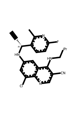 C#C[C@@H](Nc1cc(Cl)c2ncc(C#N)c(NCC(C)C)c2c1)c1ccc(F)nc1C